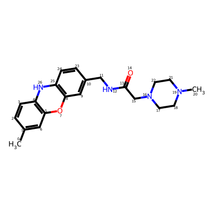 Cc1ccc2c(c1)Oc1cc(CNC(=O)CN3CCN(C)CC3)ccc1N2